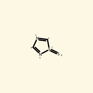 S=S1C=NC=N1